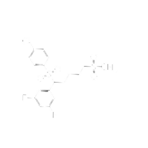 CS(=O)(=O)CCCCC(c1cc(F)cc(F)c1)S(=O)(=O)c1ccc(Cl)cc1